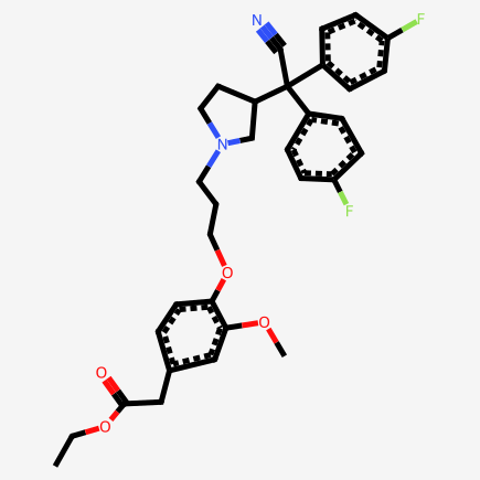 CCOC(=O)Cc1ccc(OCCCN2CCC(C(C#N)(c3ccc(F)cc3)c3ccc(F)cc3)C2)c(OC)c1